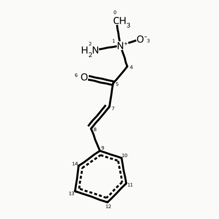 C[N+](N)([O-])CC(=O)C=Cc1ccccc1